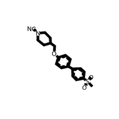 CS(=O)(=O)c1ccc(-c2ccc(OCC3CCN(C#N)CC3)cc2)cc1